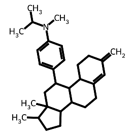 C=C1C=C2CCC3C(C2CC1)C(c1ccc(N(C)C(C)C)cc1)CC1(C)C(C)CCC31